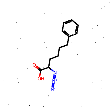 [N-]=[N+]=NC(CCCCc1ccccc1)C(=O)O